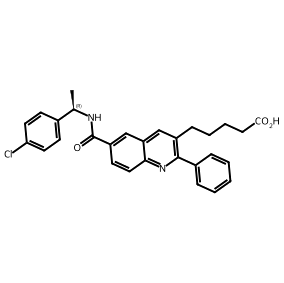 C[C@@H](NC(=O)c1ccc2nc(-c3ccccc3)c(CCCCC(=O)O)cc2c1)c1ccc(Cl)cc1